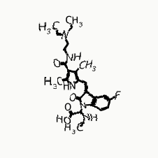 CCN(CC)CCNC(=O)c1c(C)[nH]c(C=C2C(=O)N(C(NC)C(=O)O)c3ccc(F)cc32)c1C